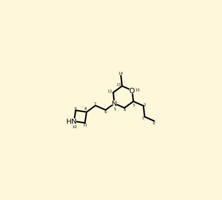 CCCC1CN(CCC2CNC2)CC(C)O1